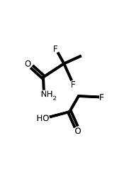 CC(F)(F)C(N)=O.O=C(O)CF